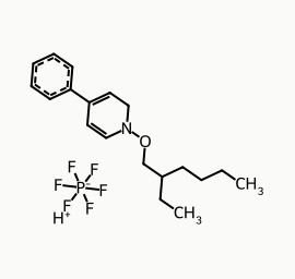 CCCCC(CC)CON1C=CC(c2ccccc2)=CC1.F[P-](F)(F)(F)(F)F.[H+]